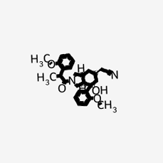 COc1ccccc1C(C)C(=O)N1C[C@@H]2C[C@@H](CC#N)C[C@@](O)(c3ccccc3OC)[C@@H]2C1